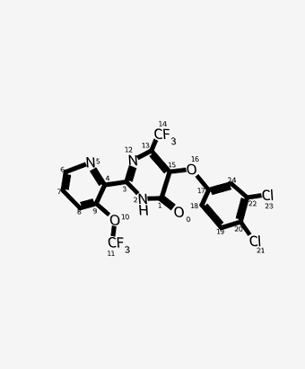 O=c1[nH]c(-c2ncccc2OC(F)(F)F)nc(C(F)(F)F)c1Oc1ccc(Cl)c(Cl)c1